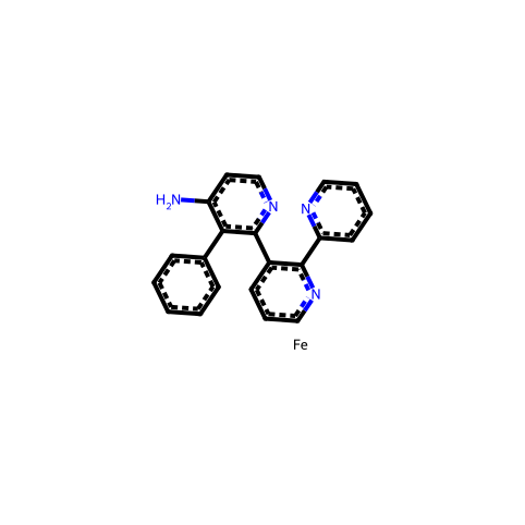 Nc1ccnc(-c2cccnc2-c2ccccn2)c1-c1ccccc1.[Fe]